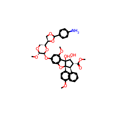 COC(=O)[C@H]1[C@@H](O)[C@@]2(O)c3c(OC)cc(O[C@@H]4O[C@@H]([C@H]5COC(c6ccc(N)cc6)O5)CO[C@H]4OC)cc3O[C@@]2(c2ccc(OC)cc2)[C@@H]1c1ccccc1